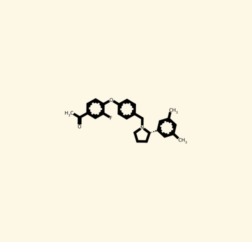 CC(=O)c1ccc(Oc2ccc(CN3CCC[C@H]3c3cc(C)cc(C)c3)cc2)c(F)c1